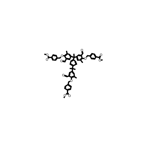 COC(=O)c1ccc(COc2c(C)cc(C(C)(C)c3ccc(C(C)(c4cc(C)c(OCc5ccc(C(=O)OC)cc5)c(C=O)c4)c4cc(C)c(OCc5ccc(C(=O)OC)cc5)c(C=O)c4)cc3)cc2C=O)cc1